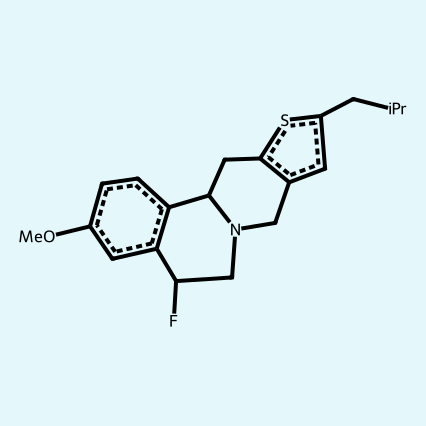 COc1ccc2c(c1)C(F)CN1Cc3cc(CC(C)C)sc3CC21